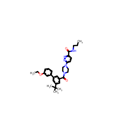 CCCNC(=O)c1ccc(N2CCN(C(=O)c3cc(-c4cccc(OCC)c4)cc(C(C)(C)C)c3)CC2)nn1